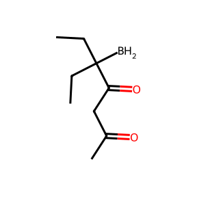 BC(CC)(CC)C(=O)CC(C)=O